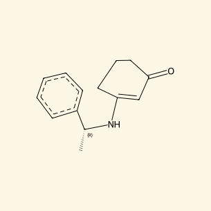 C[C@@H](NC1=CC(=O)CCC1)c1ccccc1